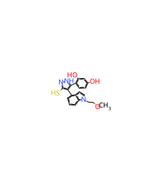 COCCn1ccc2c(-c3c(S)n[nH]c3-c3ccc(O)cc3O)cccc21